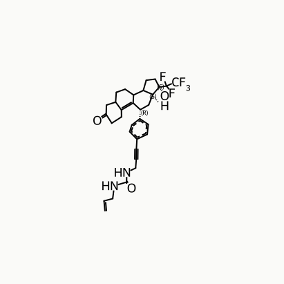 C=CCNC(=O)NCC#Cc1ccc([C@H]2C[C@@]3(C)C(CC[C@@]3(O)C(F)(F)C(F)(F)F)C3CCC4CC(=O)CCC4=C32)cc1